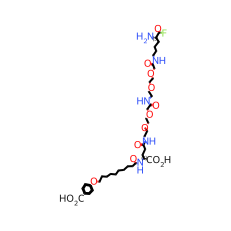 N[C@@H](CCCCNC(=O)COCCOCCNC(=O)COCCOCCNC(=O)CC[C@H](NC(=O)CCCCCCCCCOc1ccc(C(=O)O)cc1)C(=O)O)C(=O)F